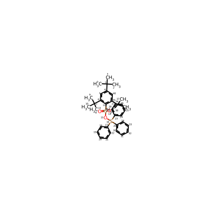 CC(C)(C)c1cc(C(C)(C)C)c(S(=O)(=O)OS(c2ccccc2)(c2ccccc2)c2ccccc2)c(C(C)(C)C)c1